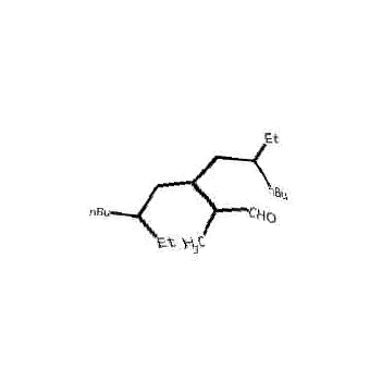 CCCCC(CC)CC(CC(CC)CCCC)C(C)C=O